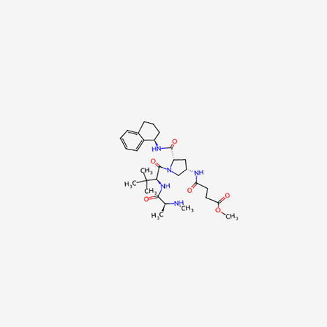 CN[C@@H](C)C(=O)N[C@H](C(=O)N1C[C@@H](NC(=O)CCC(=O)OC)C[C@H]1C(=O)N[C@@H]1CCCc2ccccc21)C(C)(C)C